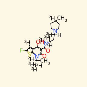 [2H]c1c(F)sc2c1c(O)c(C(=O)N([2H])C([2H])([2H])CC([2H])([2H])N1CCC([2H])(C)CC1)c(=O)n2C([2H])(C)C([2H])([2H])[2H]